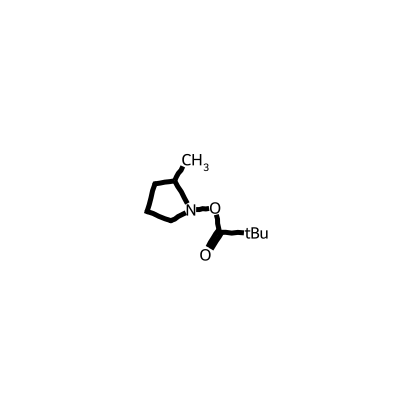 CC1CCCN1OC(=O)C(C)(C)C